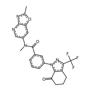 Cc1nc2ncc(N(C)C(=O)c3cccc(-n4nc(C(F)(F)F)c5c4C(=O)CCC5)c3)cc2o1